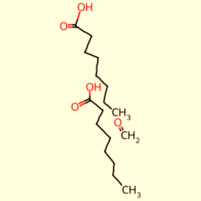 C=O.CCCCCCCC(=O)O.CCCCCCCC(=O)O